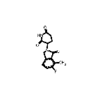 Cc1c(F)ccc2c1C(=O)N(C1CCC(=O)NC1=O)C2